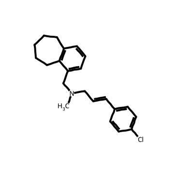 CN(C/C=C/c1ccc(Cl)cc1)Cc1cccc2c1CCCCC2